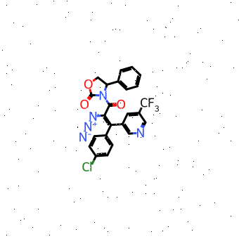 [N-]=[N+]=NC(C(=O)N1C(=O)OCC1c1ccccc1)=C(c1ccc(Cl)cc1)c1cncc(C(F)(F)F)c1